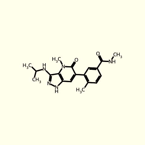 CNC(=O)c1ccc(C)c(-c2cc3[nH]nc(NC(C)C)c3n(C)c2=O)c1